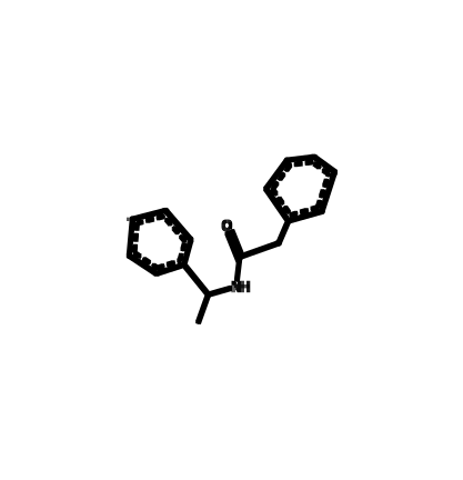 CC(NC(=O)Cc1ccccc1)c1cc[c]cc1